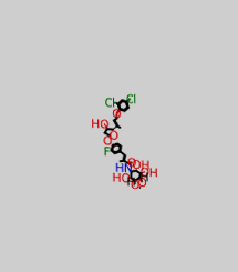 C/C(=C\c1ccc(O[C@H]2C[C@@H](O)[C@@H](/C(C)=C/COc3ccc(Cl)cc3Cl)O2)c(F)c1)C(=O)N[C@@H]1[C@H](O)[C@@H](O)[C@H]2OCO[C@H]2[C@@H]1O